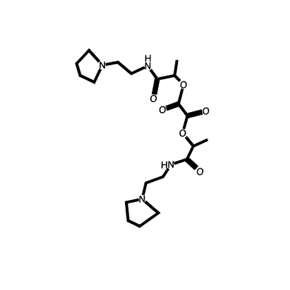 CC(OC(=O)C(=O)OC(C)C(=O)NCCN1CCCC1)C(=O)NCCN1CCCC1